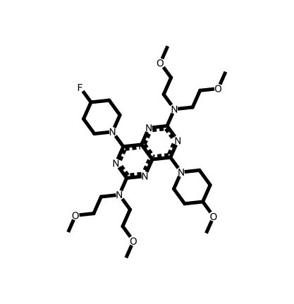 COCCN(CCOC)c1nc(N2CCC(OC)CC2)c2nc(N(CCOC)CCOC)nc(N3CCC(F)CC3)c2n1